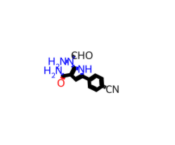 N#Cc1ccc(-c2cc(C(N)=O)c(N(N)C=O)[nH]2)cc1